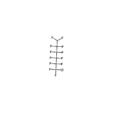 FC(F)C(F)(F)C(F)(F)C(F)(F)C(F)(F)C(F)(F)Cl